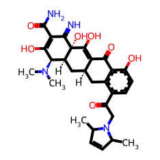 CC1C=CC(C)N1CC(=O)c1ccc(O)c2c1C[C@H]1C[C@H]3[C@@H](N(C)C)C(O)=C(C(N)=O)C(=N)[C@@]3(O)C(O)=C1C2=O